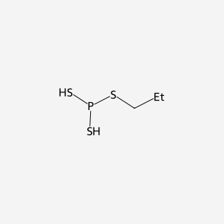 CCCSP(S)S